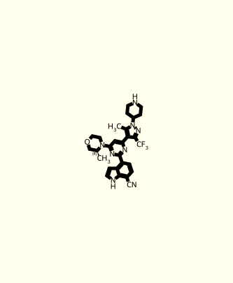 Cc1c(-c2cc(N3CCOC[C@H]3C)nc(-c3ccc(C#N)c4[nH]ccc34)n2)c(C(F)(F)F)nn1C1CCNCC1